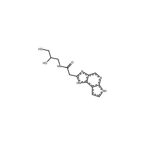 O=C(Cc1nc2cnc3[nH]ccc3c2[nH]1)NCC(O)CO